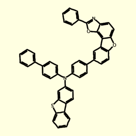 c1ccc(-c2ccc(N(c3ccc(-c4ccc5oc6ccc7nc(-c8ccccc8)oc7c6c5c4)cc3)c3ccc4c(c3)sc3ccccc34)cc2)cc1